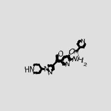 C[C@H](Oc1c(N)ncc2c(-c3cnn(C4CCNCC4)c3)coc12)c1ccncc1